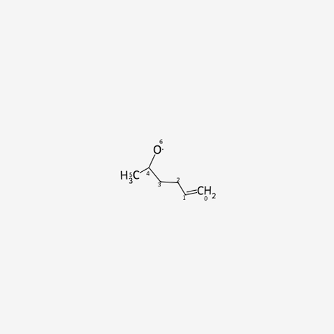 C=CCCC(C)[O]